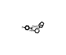 O=C(N[C@@H]1CCCN(C2CC3CCC(C2)N3C(=O)O)C1)c1ccc(F)cc1